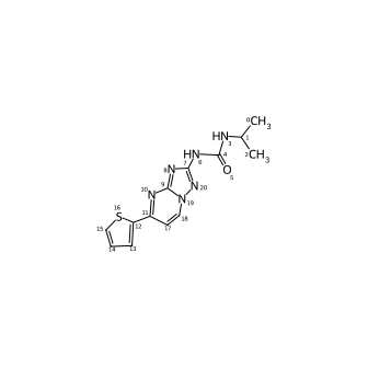 CC(C)NC(=O)Nc1nc2nc(-c3cccs3)ccn2n1